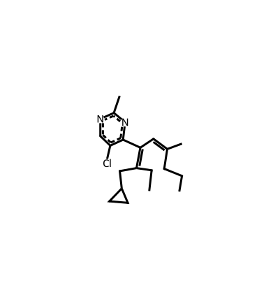 CCC/C(C)=C\C(=C(/CC)CC1CC1)c1nc(C)ncc1Cl